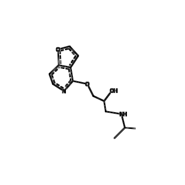 CC(C)NCC(O)COc1nccc2occc12